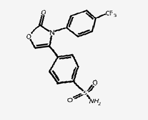 NS(=O)(=O)c1ccc(-c2coc(=O)n2-c2ccc(C(F)(F)F)cc2)cc1